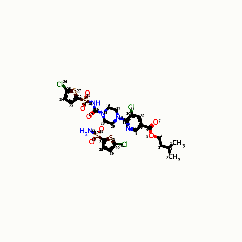 CC(C)CCOC(=O)c1cnc(N2CCN(C(=O)NS(=O)(=O)c3ccc(Cl)s3)CC2)c(Cl)c1.NS(=O)(=O)c1ccc(Cl)s1